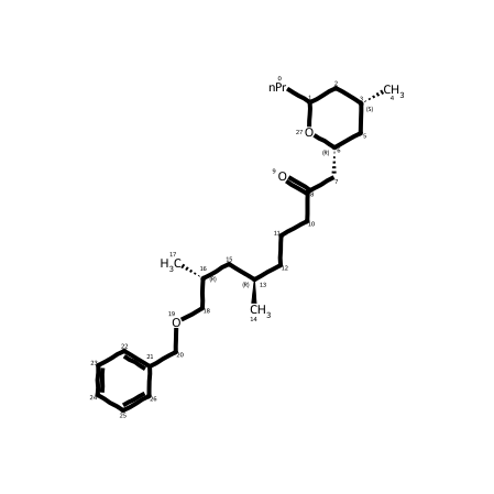 CCCC1C[C@H](C)C[C@H](CC(=O)CCC[C@@H](C)C[C@@H](C)COCc2ccccc2)O1